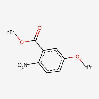 CCCOC(=O)c1cc(OCCC)ccc1[N+](=O)[O-]